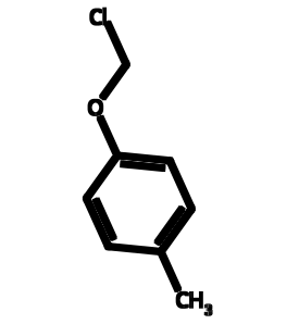 Cc1ccc(OCCl)cc1